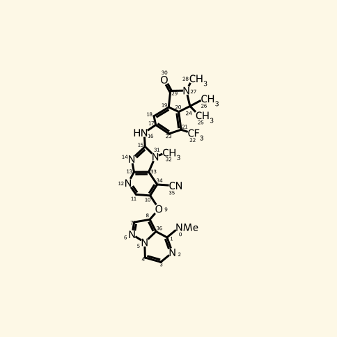 CNc1nccn2ncc(Oc3cnc4nc(Nc5cc6c(c(C(F)(F)F)c5)C(C)(C)N(C)C6=O)n(C)c4c3C#N)c12